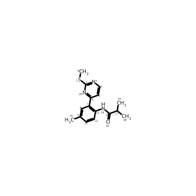 CSc1nccc(-c2cc(C)ccc2NC(=O)C(C)C)n1